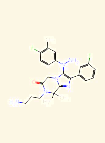 Cc1cc(N(N)c2c(-c3cccc(F)c3)nc3n2CC(=O)N(CCCN)C3(C)C)ccc1F